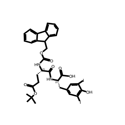 CC(C)(C)OC(=O)CC[C@H](NC(=O)OCC1c2ccccc2-c2ccccc21)C(=O)N[C@@H](Cc1cc(I)c(O)c(I)c1)C(=O)O